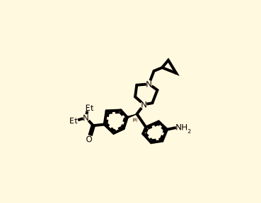 CCN(CC)C(=O)c1ccc([C@H](c2cccc(N)c2)N2CCN(CC3CC3)CC2)cc1